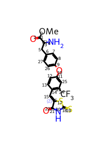 COC(=O)[C@@H](N)Cc1ccc(Oc2ccc(/C=C3\SC(=S)NC3=O)c(C(F)(F)F)c2)cc1